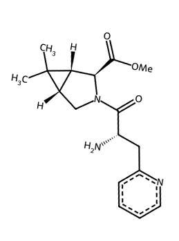 COC(=O)[C@@H]1[C@@H]2[C@H](CN1C(=O)[C@@H](N)Cc1ccccn1)C2(C)C